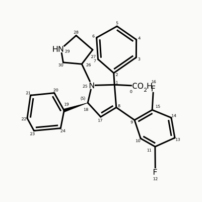 O=C(O)C1(c2ccccc2)C(c2cc(F)ccc2F)=C[C@@H](c2ccccc2)N1C1CCNC1